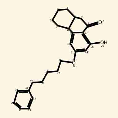 O=C1CC2CCCCC2c2cc(OCCCCCc3ccccc3)cc(O)c21